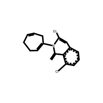 C=C1c2c(Cl)cccc2C=C(CC)N1C1=CCCC=CC1